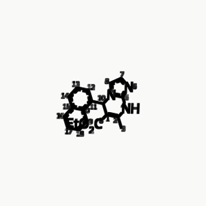 CCOC(=O)C1=C(C)Nc2nccn2C1c1cccc2ccccc12